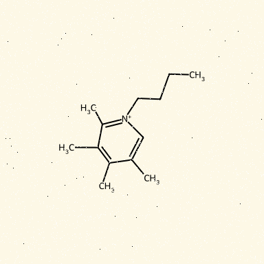 CCCC[n+]1cc(C)c(C)c(C)c1C